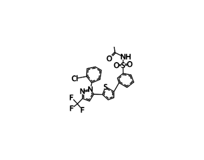 CC(=O)NS(=O)(=O)c1cccc(-c2ccc(-c3cc(C(F)(F)F)nn3-c3ccccc3Cl)s2)c1